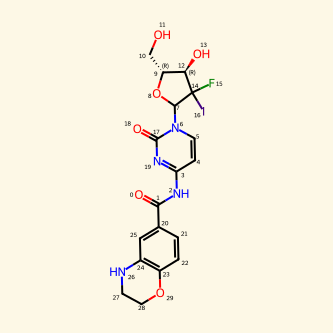 O=C(Nc1ccn(C2O[C@H](CO)[C@@H](O)C2(F)I)c(=O)n1)c1ccc2c(c1)NCCO2